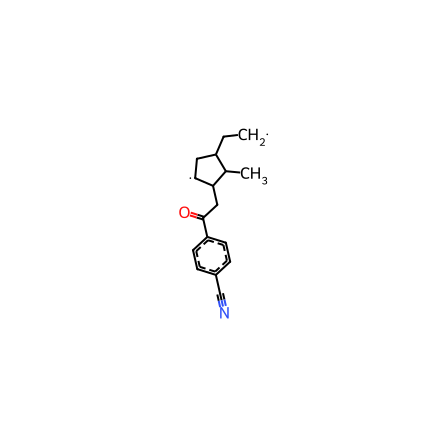 [CH2]CC1C[CH]C(CC(=O)c2ccc(C#N)cc2)C1C